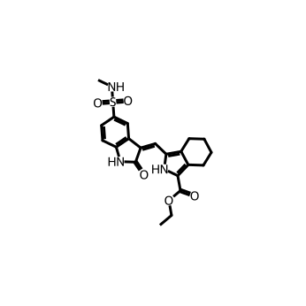 CCOC(=O)c1[nH]c(C=C2C(=O)Nc3ccc(S(=O)(=O)NC)cc32)c2c1CCCC2